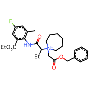 CCOC(=O)c1cc(F)cc(C)c1NC(=O)C(CC)[N+]1(CC(=O)OCc2ccccc2)CCCCCC1